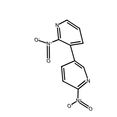 O=[N+]([O-])c1ccc(-c2cccnc2[N+](=O)[O-])cn1